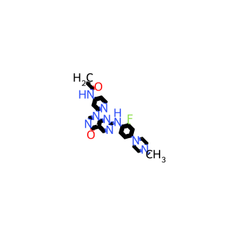 C=CC(=O)Nc1ccnc(-n2cnc(=O)c3cnc(Nc4ccc(N5CCN(C)CC5)cc4F)nc32)c1